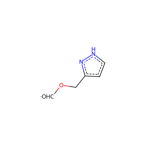 O=[C]OCc1cc[nH]n1